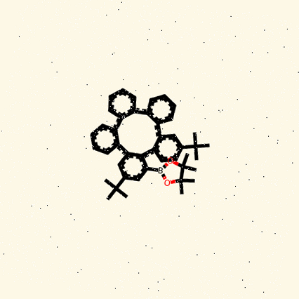 CC(C)(C)c1ccc2c(c1)c1ccccc1c1ccccc1c1ccccc1c1cc(C(C)(C)C)cc(B3OC(C)(C)C(C)(C)O3)c21